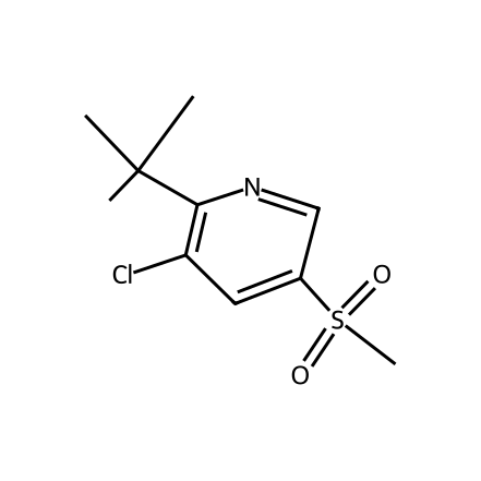 CC(C)(C)c1ncc(S(C)(=O)=O)cc1Cl